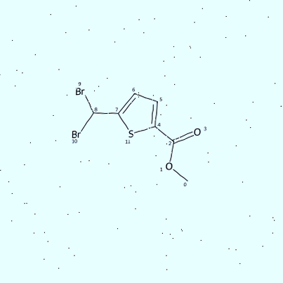 COC(=O)c1ccc(C(Br)Br)s1